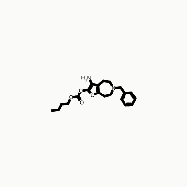 CCCCOC(=O)Oc1oc2c(c1N)CCN(Cc1ccccc1)CC2